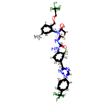 Cc1ccc(COCC(F)(F)F)c(N2C(=O)CS/C2=N\C(=O)Nc2ccc(-c3ncn(-c4ccc(C(F)(F)F)cc4)n3)cc2F)c1